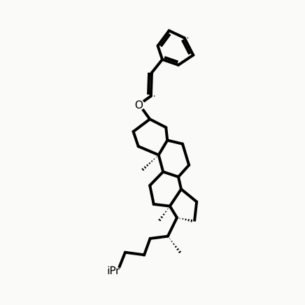 CC(C)CCC[C@@H](C)[C@H]1CCC2C3CCC4CC(O[C]=Cc5cc[c]cc5)CC[C@]4(C)C3CC[C@@]21C